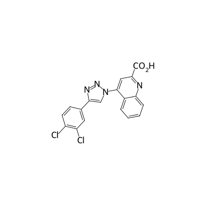 O=C(O)c1cc(-n2cc(-c3ccc(Cl)c(Cl)c3)nn2)c2ccccc2n1